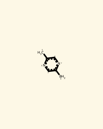 Bc1cnc(C)cn1